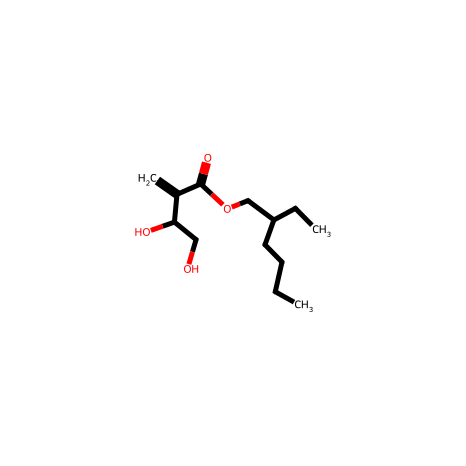 C=C(C(=O)OCC(CC)CCCC)C(O)CO